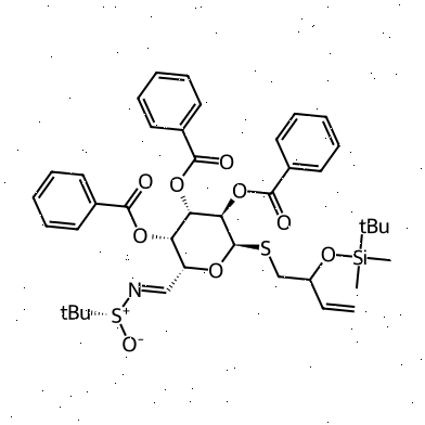 C=CC(CS[C@H]1O[C@H](/C=N/[S@+]([O-])C(C)(C)C)[C@H](OC(=O)c2ccccc2)[C@H](OC(=O)c2ccccc2)[C@H]1OC(=O)c1ccccc1)O[Si](C)(C)C(C)(C)C